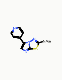 CNc1nn2c(-c3ccncc3)cnc2s1